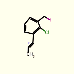 C/C=C/c1cccc(CI)c1Cl